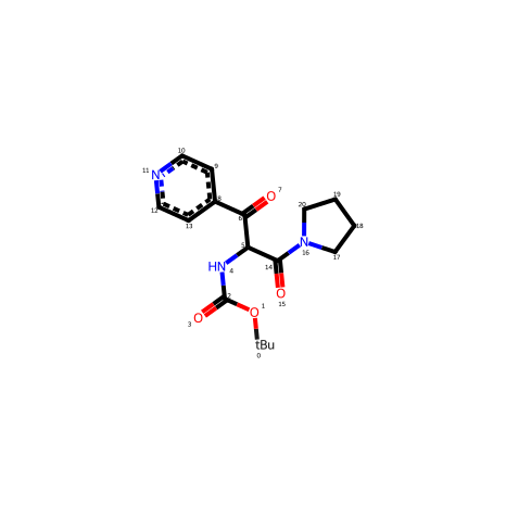 CC(C)(C)OC(=O)NC(C(=O)c1ccncc1)C(=O)N1CCCC1